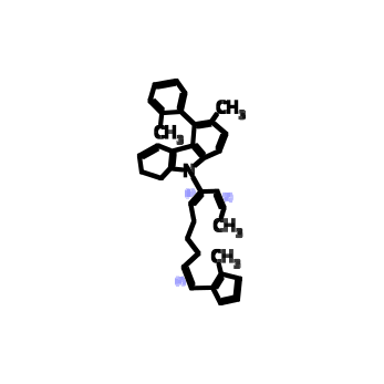 C/C=C\C(=C/CCC/C=C\C1=C(C)C=C=C1)n1c2c(c3c(-c4ccccc4C)c(C)ccc31)C=CCC2